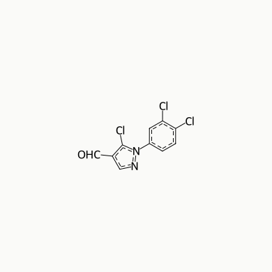 O=Cc1cnn(-c2ccc(Cl)c(Cl)c2)c1Cl